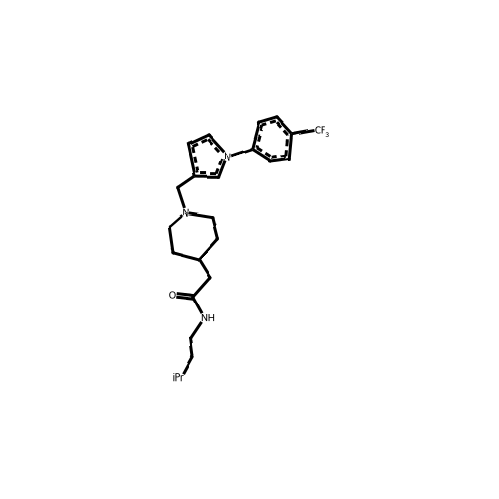 CC(C)CCNC(=O)CC1CCN(Cc2ccn(-c3ccc(C(F)(F)F)cc3)c2)CC1